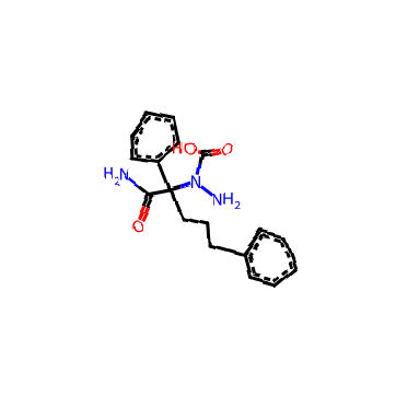 NC(=O)C(CCCc1ccccc1)(c1ccccc1)N(N)C(=O)O